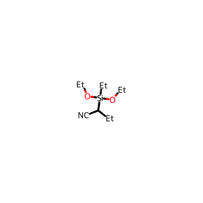 CCO[Si](CC)(OCC)C(C#N)CC